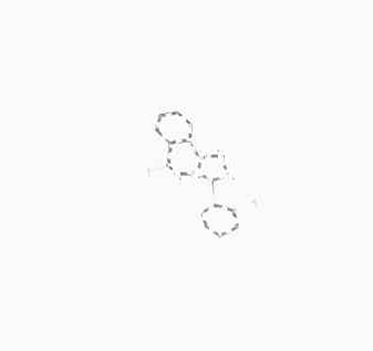 Oc1ccccc1-c1nnc2c3ccccc3c(Cl)nn12